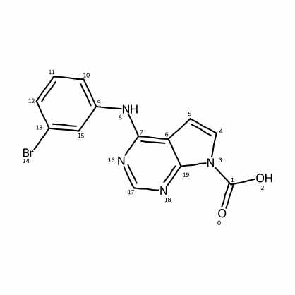 O=C(O)n1ccc2c(Nc3cccc(Br)c3)ncnc21